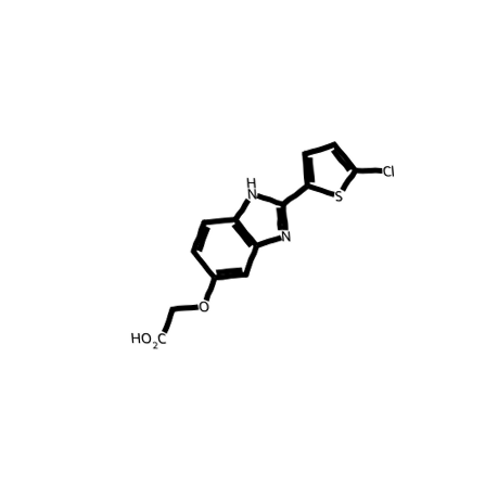 O=C(O)COc1ccc2[nH]c(-c3ccc(Cl)s3)nc2c1